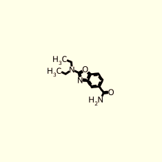 CCN(CC)c1nc2cc(C(N)=O)ccc2o1